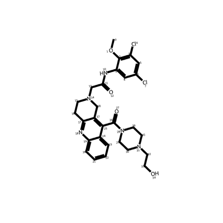 COc1c(Cl)cc(Cl)cc1NC(=O)CN1CCc2nc3ccccc3c(C(=O)N3CCN(CCO)CC3)c2C1